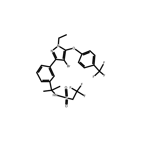 CCn1nc(-c2cccc(C(C)(C)NS(=O)(=O)CC(F)(F)F)c2)c(Br)c1Oc1ccc(C(F)(F)F)cc1